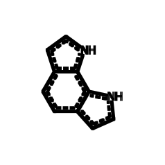 c1cc2ccc3cc[nH]c3c2[nH]1